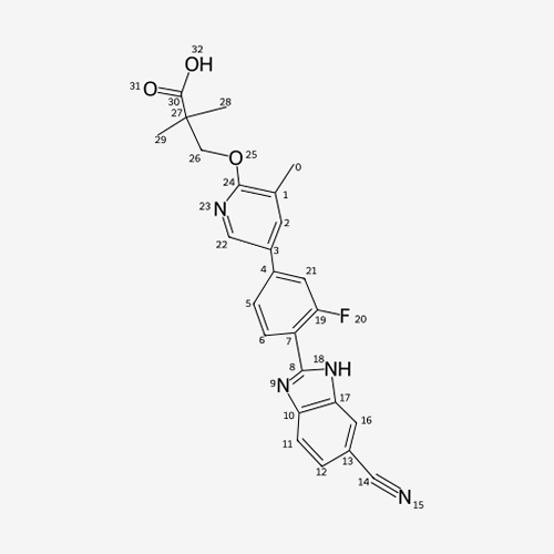 Cc1cc(-c2ccc(-c3nc4ccc(C#N)cc4[nH]3)c(F)c2)cnc1OCC(C)(C)C(=O)O